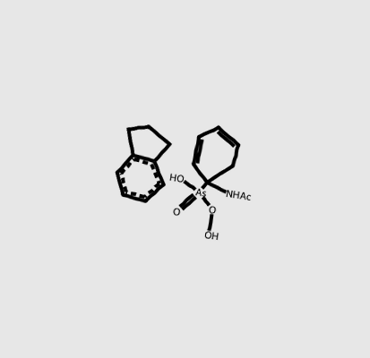 CC(=O)NC1([As](=O)(O)OO)C=CC=CC1.c1ccc2c(c1)CCC2